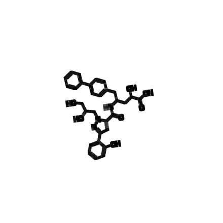 O=C(NC(Cc1ccc(-c2ccccc2)cc1)CC(O)C(=O)O)c1cc(-c2ccccc2O)nn1CC(O)CO